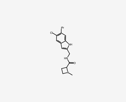 CC(C)c1cc2[nH]c(CNC(=O)C3CCN3C)cc2cc1Cl